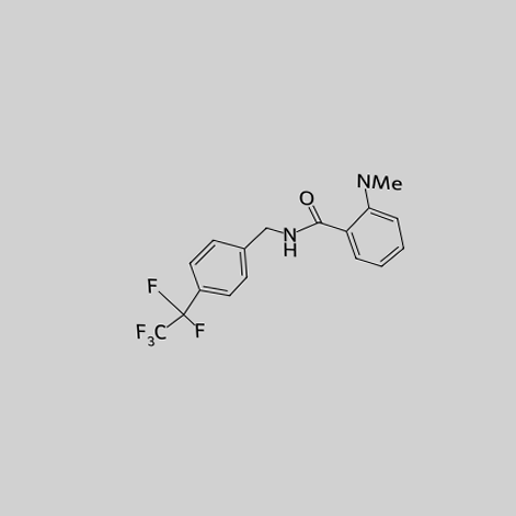 CNc1ccccc1C(=O)NCc1ccc(C(F)(F)C(F)(F)F)cc1